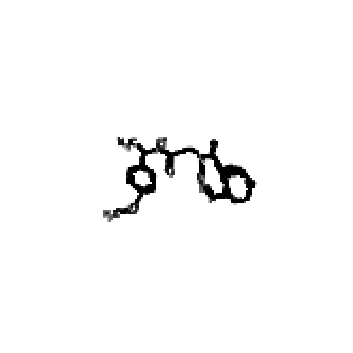 COc1ccc(C(C)NC(=O)Cn2nnc3ccccc3c2=O)cc1